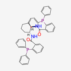 O=C(N[C@@H]1CCCC[C@H]1NC(=O)c1ccccc1P(c1ccccc1)c1ccccc1)c1ccccc1P(c1ccccc1)c1ccccc1